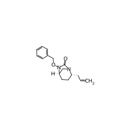 C=CC[C@@H]1CC[C@@H]2CN1C(=O)N2OCc1ccccc1